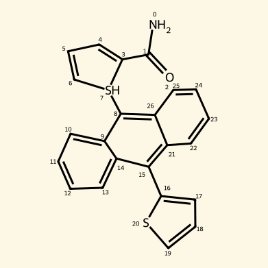 NC(=O)C1=CC=C[SH]1c1c2ccccc2c(-c2cccs2)c2ccccc12